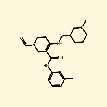 Cc1cccc(NC(=N)C2=C(NCC3CCCN(C)C3)CCN(C=O)C2)c1